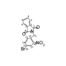 O=C1c2ccccc2C(=O)N1Cc1ccc(Br)cc1[N+](=O)[O-]